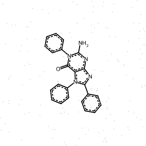 Nc1nc2nc(-c3ccccc3)n(-c3ccccc3)c2c(=O)n1-c1ccccc1